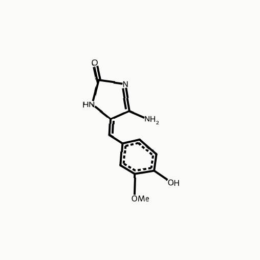 COc1cc(C=C2NC(=O)N=C2N)ccc1O